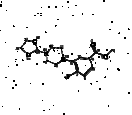 COC(=O)c1ccc(F)c(N2CCN(C3OCCO3)CC2)c1